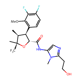 COc1c([C@H]2[C@H](C(=O)Nc3cnc(CCO)n3C)O[C@@](C)(C(F)(F)F)[C@H]2C)ccc(F)c1F